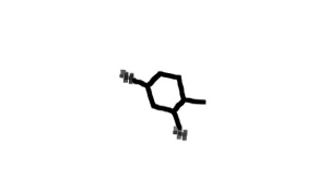 [2H]C1CCC(C)C([2H])C1